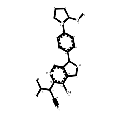 COC1CCCN1c1ccc(C2OCc3c2cnc(C(C#N)C(C)C)c3O)cc1